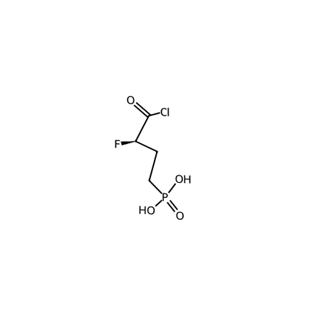 O=C(Cl)[C@H](F)CCP(=O)(O)O